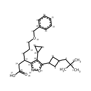 CC(C)(C)CC1CC(c2onc(C(CCCOCc3ccccc3)CC(=O)O)c2C2CC2)C1